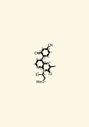 CC[C@H](COC)n1c(=O)c(C)nc2c(-c3ccc(C#N)cc3Cl)ccnc21